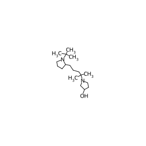 CC(C)(C)N1CCCC1CCCC(C)(C)N1CCC(O)C1